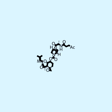 CO[C@@H]1[C@H](OC(=O)N2C[C@@H]3C[C@H]2CN3C(=O)[C@H](C)NC(=O)CCC(C)=O)CC[C@]2(CO2)[C@H]1[C@@]1(C)O[C@@H]1CC=C(C)C